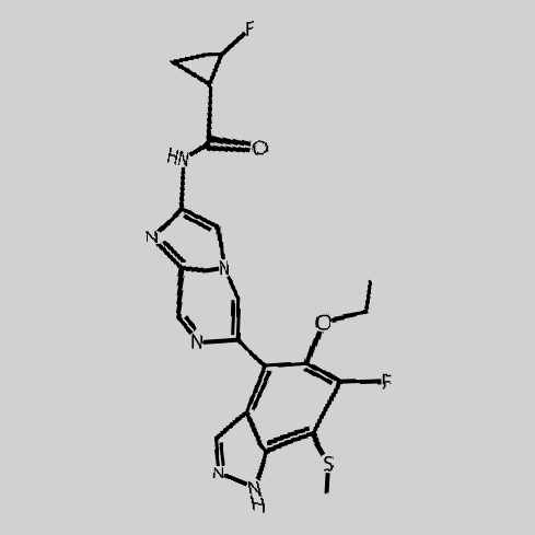 CCOc1c(F)c(SC)c2[nH]ncc2c1-c1cn2cc(NC(=O)C3CC3F)nc2cn1